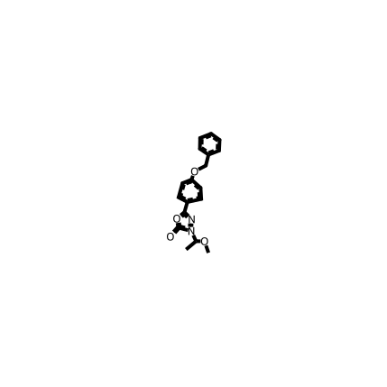 COC(C)n1nc(-c2ccc(OCc3ccccc3)cc2)oc1=O